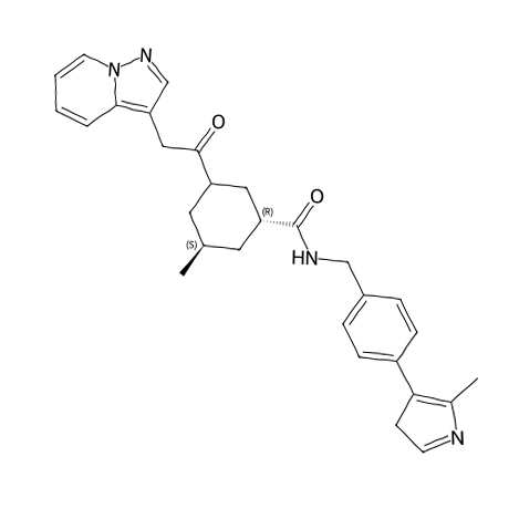 CC1=C(c2ccc(CNC(=O)[C@H]3CC(C(=O)Cc4cnn5ccccc45)C[C@H](C)C3)cc2)CC=N1